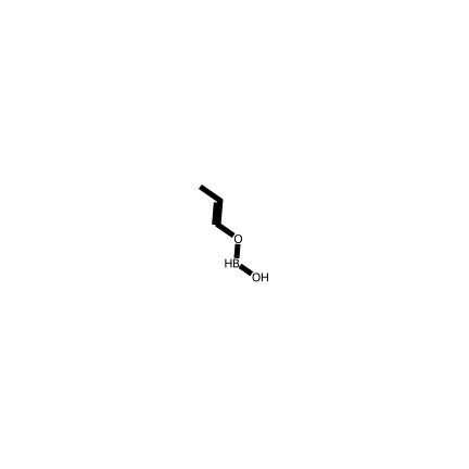 C/C=C/OBO